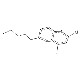 CCCCCc1ccc2nc(Cl)cc(C)c2c1